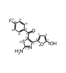 Nc1nc(-c2ccc(O)o2)c(C(=O)c2ccc(F)cc2)s1